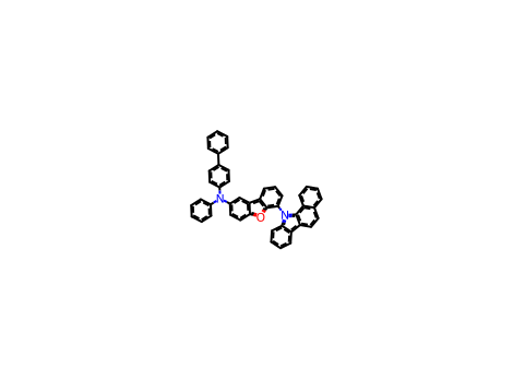 c1ccc(-c2ccc(N(c3ccccc3)c3ccc4oc5c(-n6c7ccccc7c7ccc8ccccc8c76)cccc5c4c3)cc2)cc1